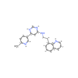 Cc1ccc(-c2cc(NCCc3cccc4cccnc34)ncn2)cn1